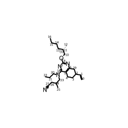 C=CC1CCc2c(nc(OC[C@@H](C)CCCC)nc2N(CCC)CC(C)CC#N)C1